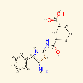 Nc1sc(NC(=O)C2CCC[C@@H](C(=O)O)C2)nc1-c1ccccc1